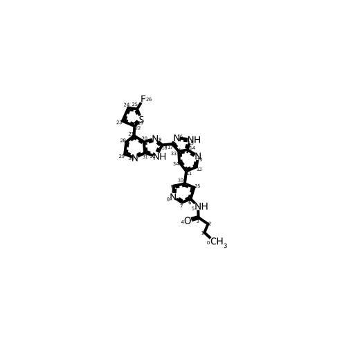 CCCC(=O)Nc1cncc(-c2cnc3[nH]nc(-c4nc5c(-c6ccc(F)s6)ccnc5[nH]4)c3c2)c1